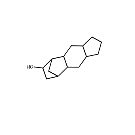 OC1CC2CC1C1CC3CCCC3CC21